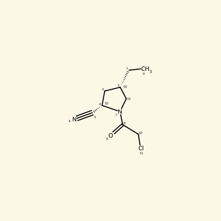 CC[C@H]1C[C@@H](C#N)N(C(=O)CCl)C1